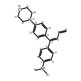 C=CC=C(c1ccc(N(C)C)cc1)c1ccc(N2CCOCC2)cc1